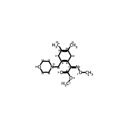 CO/N=C(\C(=O)OC)C1=C(CN2CCOCC2)CC(C)=C(C)C1